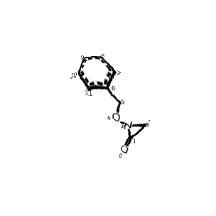 O=C1CN1OCc1ccccc1